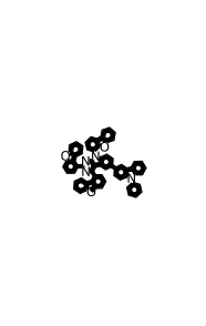 c1ccc(-n2c3ccccc3c3cc(-c4ccc5c(c4)c4c(-c6cccc7oc8ccccc8c67)nc(-c6cccc7oc8ccccc8c67)nc4n5-c4cccc5c4oc4ccccc45)ccc32)cc1